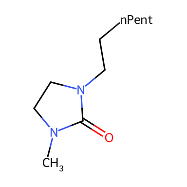 CCCCCCCN1CCN(C)C1=O